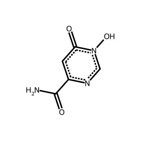 NC(=O)c1cc(=O)n(O)cn1